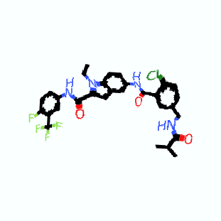 CCn1c(C(=O)Nc2ccc(F)c(C(F)(F)F)c2)cc2cc(NC(=O)c3cc(CNC(=O)C(C)C)ccc3Cl)ccc21